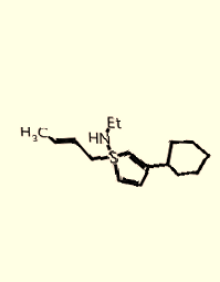 CC=CCS1(NCC)C=CC(C2CCCCC2)=C1